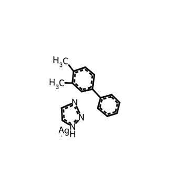 Cc1ccc(-c2ccccc2)cc1C.[Ag].c1c[nH]nn1